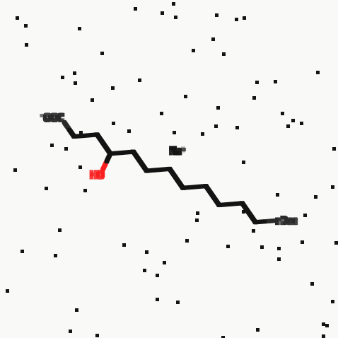 CCCCCCCCCCCCCCCCCCC(O)CCC(=O)[O-].[Na+]